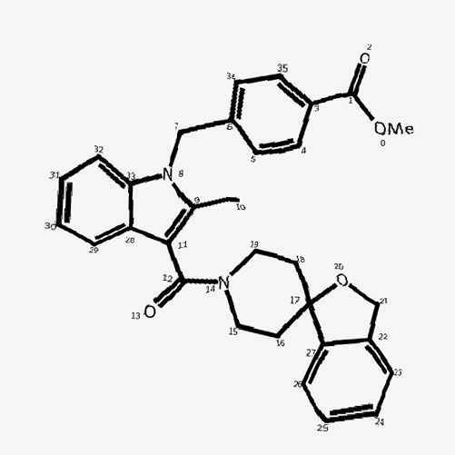 COC(=O)c1ccc(Cn2c(C)c(C(=O)N3CCC4(CC3)OCc3ccccc34)c3ccccc32)cc1